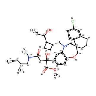 C=CC(O)[C@@H]1CC[C@H]1CN1C[C@@]2(CCCc3cc(Cl)ccc32)COc2ccc(C(O)(CC(=O)N(C)C[C@H](C)C=C)C(=O)OC)cc21